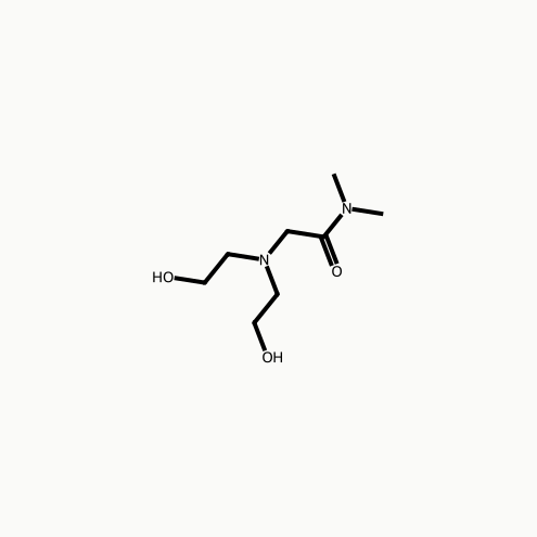 CN(C)C(=O)CN(CCO)CCO